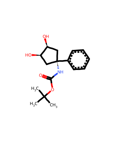 CC(C)(C)OC(=O)N[C@]1(c2ccccc2)C[C@@H](O)[C@@H](O)C1